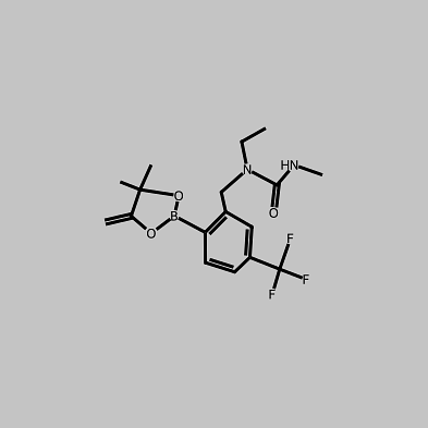 C=C1OB(c2ccc(C(F)(F)F)cc2CN(CC)C(=O)NC)OC1(C)C